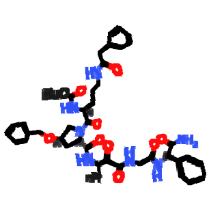 CCCC(NC(=O)[C@@H]1C[C@@H](OCc2ccccc2)CN1C(=O)[C@H](CCCNC(=O)Cc1ccccc1)NC(=O)OCC(C)C)C(=O)C(=O)NCC(=O)N[C@H](C(N)=O)c1ccccc1